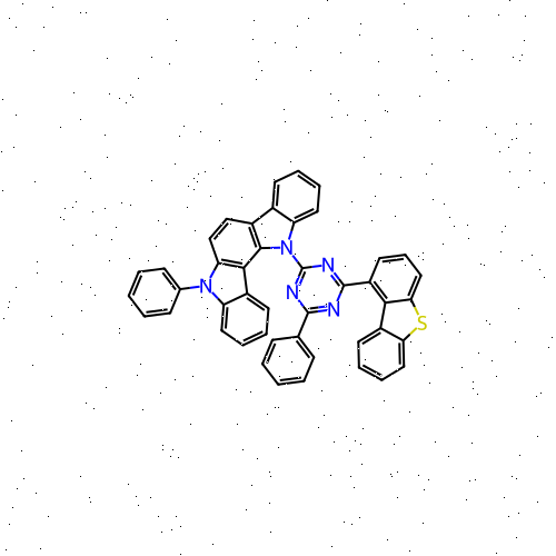 c1ccc(-c2nc(-c3cccc4sc5ccccc5c34)nc(-n3c4ccccc4c4ccc5c(c6ccccc6n5-c5ccccc5)c43)n2)cc1